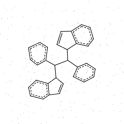 C1=CC(C(c2ccccc2)C(c2ccccc2)C2C=Cc3ccccc32)c2ccccc21